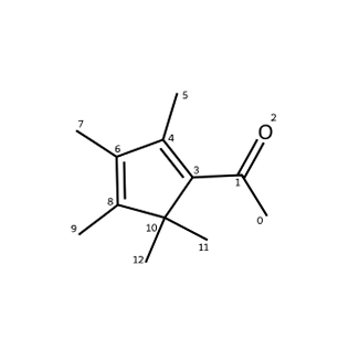 CC(=O)C1=C(C)C(C)=C(C)C1(C)C